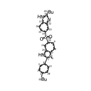 CCC(C)c1ccc(-c2nc3ccc(S(=O)(=O)c4ccc5[nH]c(C(C)CC)nc5c4)cc3[nH]2)cc1